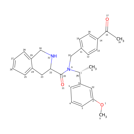 COc1cccc([C@@H](C)N(Cc2ccc(C(C)=O)cc2)C(=O)C2Cc3ccccc3CN2)c1